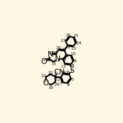 N#CC1(c2cccc(Sc3ccc4c(c3)N3CC(=O)N=C3C=C4c3ccccc3)c2)CCOCC1